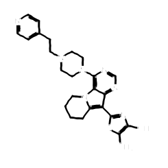 Cc1nc(-c2c3n(c4c(N5CCN(CCc6ccncc6)CC5)ncnc24)CCCC3)sc1C